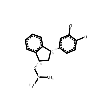 CN(C)C[C@H]1C[C@@H](c2ccc(Cl)c(Cl)c2)c2ccccc21